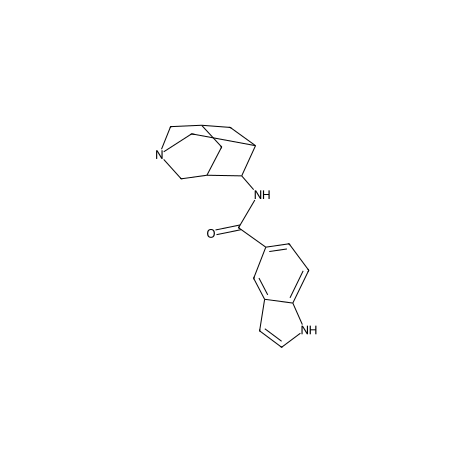 O=C(NC1C2CC3CC1CN(C3)C2)c1ccc2[nH]ccc2c1